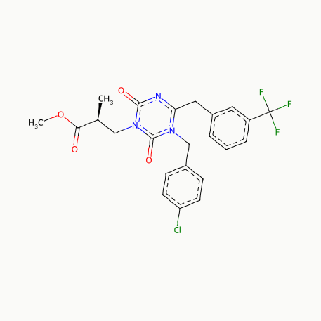 COC(=O)[C@@H](C)Cn1c(=O)nc(Cc2cccc(C(F)(F)F)c2)n(Cc2ccc(Cl)cc2)c1=O